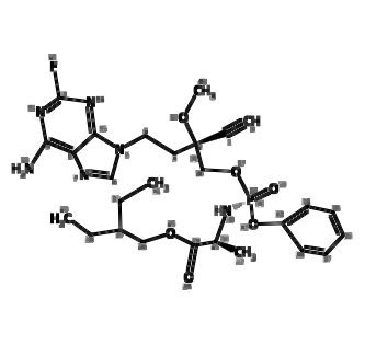 C#C[C@](CCn1cnc2c(N)nc(F)nc21)(CO[P@](=O)(N[C@@H](C)C(=O)OCC(CC)CC)Oc1ccccc1)OC